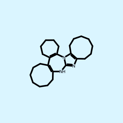 C1CCCC2=C(CCC1)C1=C(CCCCC1)n1c(nc3c1CCCCCCC3)N2